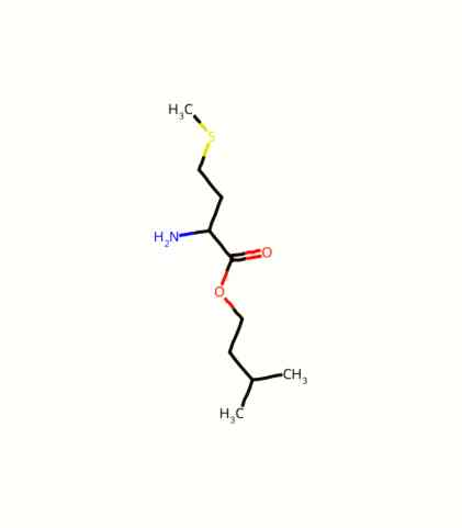 CSCCC(N)C(=O)OCCC(C)C